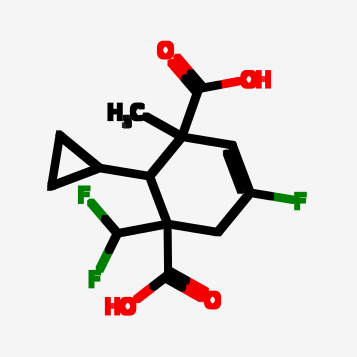 CC1(C(=O)O)C=C(F)CC(C(=O)O)(C(F)F)C1C1CC1